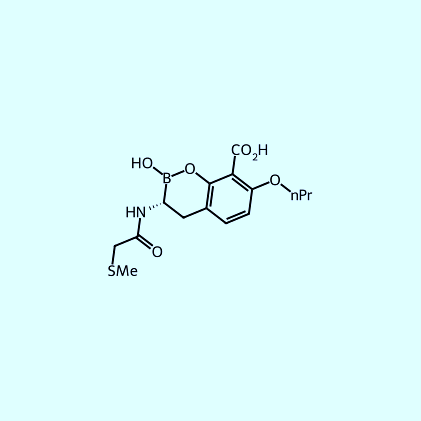 CCCOc1ccc2c(c1C(=O)O)OB(O)[C@@H](NC(=O)CSC)C2